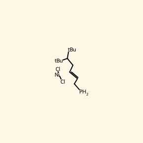 CC(C)(C)C(CC=CCP)C(C)(C)C.[Cl][Ni][Cl]